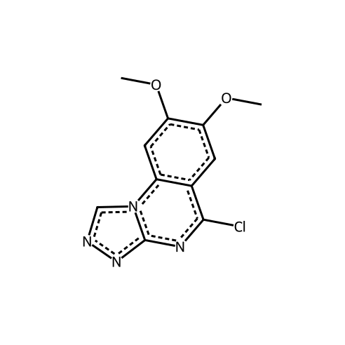 COc1cc2c(Cl)nc3nncn3c2cc1OC